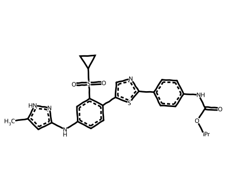 Cc1cc(Nc2ccc(-c3cnc(-c4ccc(NC(=O)OC(C)C)cc4)s3)c(S(=O)(=O)C3CC3)c2)n[nH]1